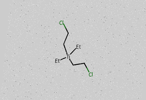 C[CH2][Ti]([CH2]C)([CH2]CCl)[CH2]CCl